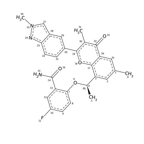 Cc1cc([C@@H](C)Oc2ccc(F)cc2C(N)=O)c2oc(-c3ccc4nn(C)cc4c3)c(C)c(=O)c2c1